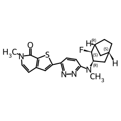 CN(c1ccc(-c2cc3ccn(C)c(=O)c3s2)nn1)[C@@H]1C[C@H]2CC[C@H](C2)[C@@H]1F